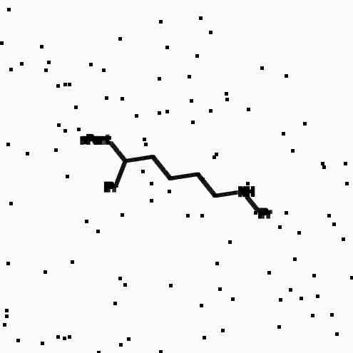 CCCCCC(CCCCNC(C)C)C(C)C